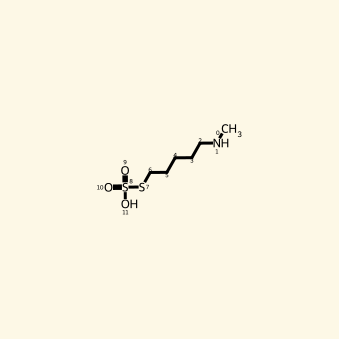 CNCCCCCSS(=O)(=O)O